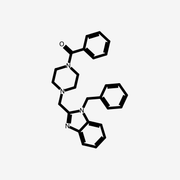 O=C(c1ccccc1)N1CCN(Cc2nc3ccccc3n2Cc2ccccc2)CC1